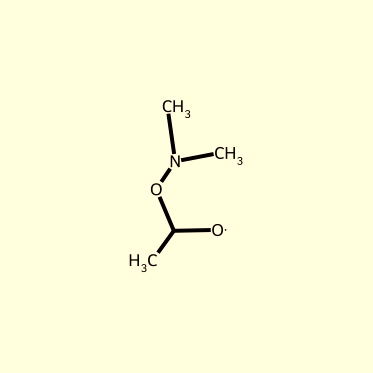 CC([O])ON(C)C